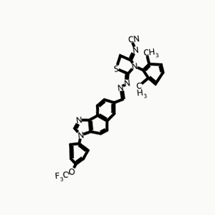 Cc1cccc(C)c1N1/C(=N/N=C/c2ccc3c(ccc4c3ncn4-c3ccc(OC(F)(F)F)cc3)c2)SC/C1=N\C#N